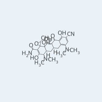 CC1OC12C(C(N)=O)=C(O)[C@H](N(C)C)[C@@H]1C[C@@H]3Cc4c(N(C)C)cc(C#N)c(O)c4C(=O)C3=C(O)C12O